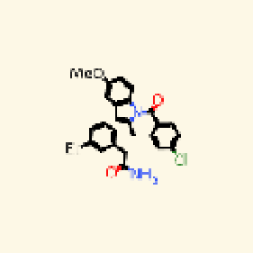 CCc1cccc(CC(N)=O)c1.COc1ccc2c(c1)cc(C)n2C(=O)c1ccc(Cl)cc1